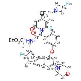 CCOC(=O)C[C@@H]1NC(=O)[C@@H](n2cc(CCN3CC(F)C3)c(C(F)(F)F)cc2=O)c2cc(ccc2F)Oc2cc(N3C4CCC3COC4)cc(C)c2-c2cc(C)c(F)c1c2